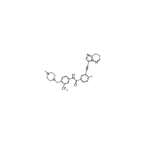 Cc1ccc(C(=O)Nc2ccc(CN3CCN(C)CC3)c(C(F)(F)F)c2)cc1C#Cc1cnc2n1N=CCC2